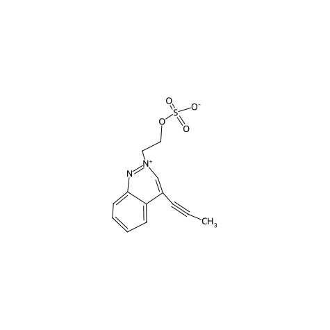 CC#Cc1c[n+](CCOS(=O)(=O)[O-])nc2ccccc12